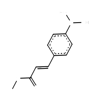 COC(=O)C=Cc1ccc(B(O)O)cc1